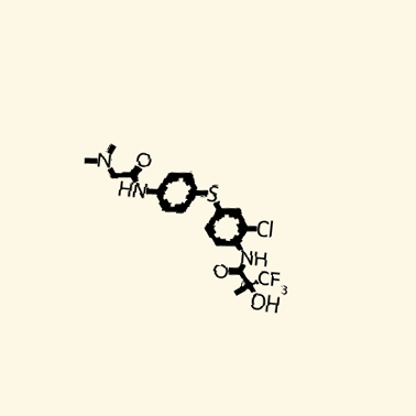 CN(C)CC(=O)Nc1ccc(Sc2ccc(NC(=O)[C@@](C)(O)C(F)(F)F)c(Cl)c2)cc1